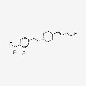 FCCC=C[C@H]1CC[C@H](CCc2ccc(C(F)F)c(F)c2)CC1